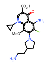 COc1c(N2CCC(CCN)C2)c(F)c(N)c2c(=O)c(C(=O)O)cn(C3CC3)c12